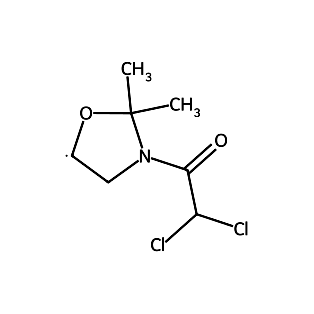 CC1(C)O[CH]CN1C(=O)C(Cl)Cl